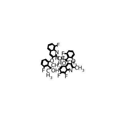 Cc1nc2c(F)c(F)ccc2cc1Oc1cccc(F)c1C(C)(C)O.Cc1nc2c(F)cccc2cc1Oc1cccc(F)c1C(C)(C)O